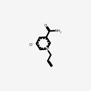 C=CC[n+]1cccc(C(N)=O)c1.[Cl-]